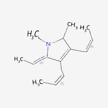 C/C=C\C1=C(/C=C\C)C(C)N(C)/C1=C\C